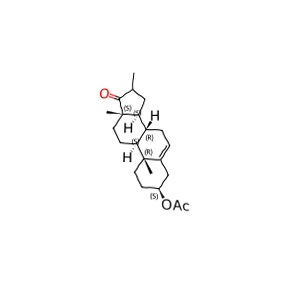 CC(=O)O[C@H]1CC[C@@]2(C)C(=CC[C@@H]3[C@@H]2CC[C@]2(C)C(=O)C(C)C[C@@H]32)C1